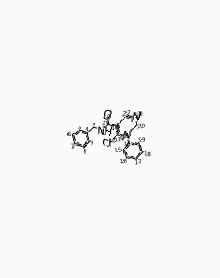 O=C(NCc1ccccc1)C1=C(Cl)N(c2ccccc2)CN=C1